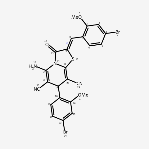 COc1cc(Br)ccc1/C=c1\sc2n(c1=O)C(N)=C(C#N)C(c1ccc(Br)cc1OC)C=2C#N